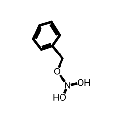 ON(O)OCc1ccccc1